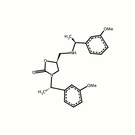 COc1cccc([C@H](C)NC[C@H]2CN([C@@H](C)c3cccc(OC)c3)C(=O)O2)c1